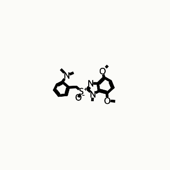 COc1ccc(OC)c2c1nc([S+]([O-])Cc1ccccc1N(C)C)n2C